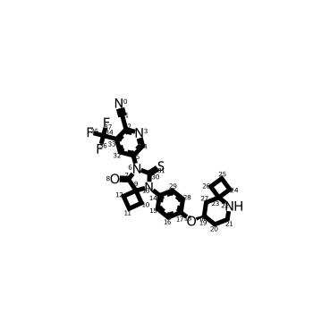 N#Cc1ncc(N2C(=O)C3(CCC3)N(c3ccc(O[C@@H]4CCNC5(CCC5)C4)cc3)C2=S)cc1C(F)(F)F